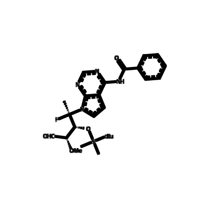 CO[C@H](C=O)[C@@H](O[Si](C)(C)C(C)(C)C)[C@@](C)(F)n1ccc2c(NC(=O)c3ccccc3)ncnc21